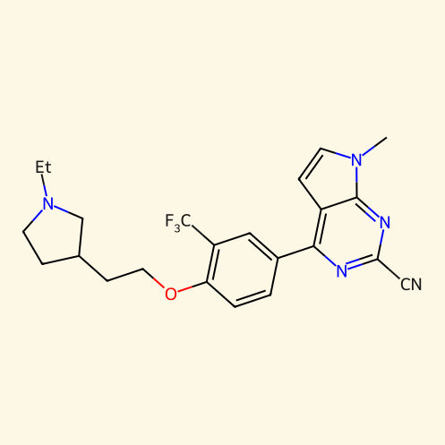 CCN1CCC(CCOc2ccc(-c3nc(C#N)nc4c3ccn4C)cc2C(F)(F)F)C1